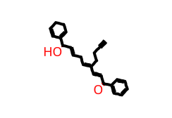 C#CCCC(/C=C/C(=O)c1ccccc1)=C\C/C=C/[C@H](O)C1=CCCC=C1